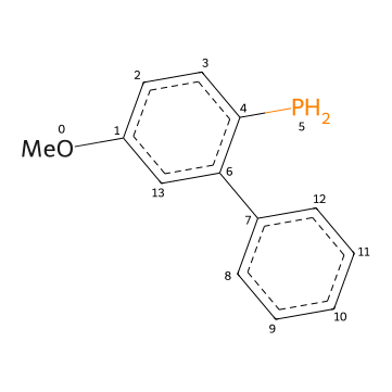 COc1ccc(P)c(-c2ccccc2)c1